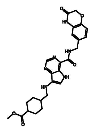 COC(=O)C1CCC(CNc2c[nH]c3c(C(=O)NCc4ccc5c(c4)NC(=O)CO5)ncnc23)CC1